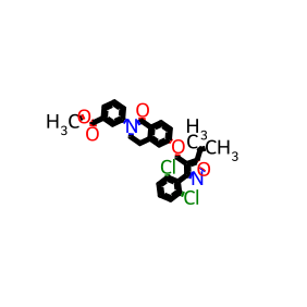 COC(=O)c1cccc(N2CCc3cc(OCc4c(-c5c(Cl)cccc5Cl)noc4C(C)C)ccc3C2=O)c1